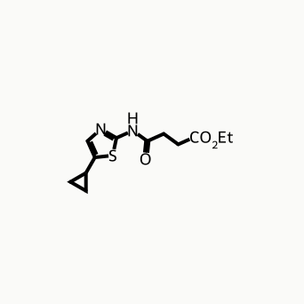 CCOC(=O)CCC(=O)Nc1ncc(C2CC2)s1